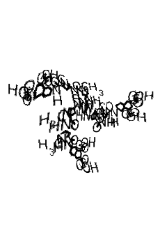 Cn1cc(NC(=O)c2cc(Nc3nc(Nc4cc(C(=O)Nc5cc(C(=O)Nc6ccc7cc(S(=O)(=O)O)cc(S(=O)(=O)O)c7c6)n(C)c5)n(C)c4)nc(Nc4cc(C(=O)Nc5cc(C(=O)Nc6ccc7cc(S(=O)(=O)O)cc(S(=O)(=O)O)c7c6)n(C)c5)n(C)c4)n3)cn2C)cc1C(=O)Nc1ccc2cc(S(=O)(=O)O)cc(S(=O)(=O)O)c2c1